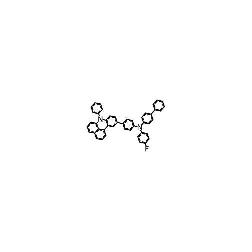 Fc1ccc(N(c2ccc(-c3ccccc3)cc2)c2ccc(-c3ccc4c(c3)-c3cccc5cccc(c35)N4c3ccccc3)cc2)cc1